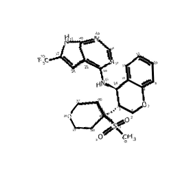 CS(=O)(=O)C1([C@H]2COc3ccccc3[C@@H]2Nc2ncnc3[nH]c(C(F)(F)F)cc23)CCOCC1